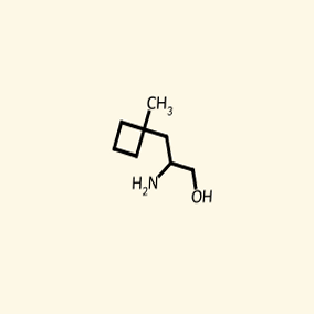 CC1(CC(N)CO)CCC1